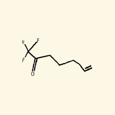 C=CCCCC(=O)C(F)(F)F